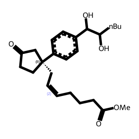 CCCCC(O)C(O)c1ccc([C@@]2(C/C=C\CCCC(=O)OC)CCC(=O)C2)cc1